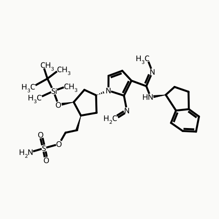 C=Nc1c(/C(=N\C)N[C@H]2CCc3ccccc32)ccn1[C@@H]1C[C@@H](CCOS(N)(=O)=O)[C@@H](O[Si](C)(C)C(C)(C)C)C1